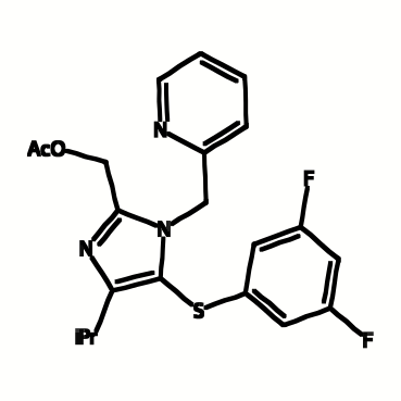 CC(=O)OCc1nc(C(C)C)c(Sc2cc(F)cc(F)c2)n1Cc1ccccn1